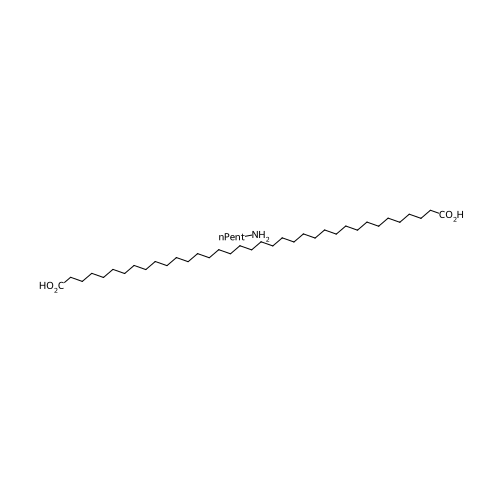 CCCCCN.O=C(O)CCCCCCCCCCCCCCCCCCCCCCCCCCCCCCCCCCCC(=O)O